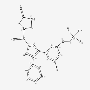 O=C1CN(C(=O)c2cc(-c3cc(F)cc(OCC(F)(F)F)c3)n(-c3cccnc3)n2)CN1